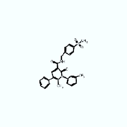 Cc1c(-c2ccccc2)cc(C(=O)NCc2ccc(S(C)(=O)=O)cc2)c(=O)n1-c1cccc(C(F)(F)F)c1